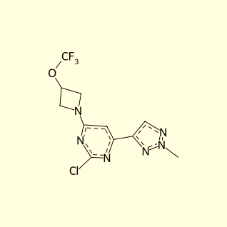 Cn1ncc(-c2cc(N3CC(OC(F)(F)F)C3)nc(Cl)n2)n1